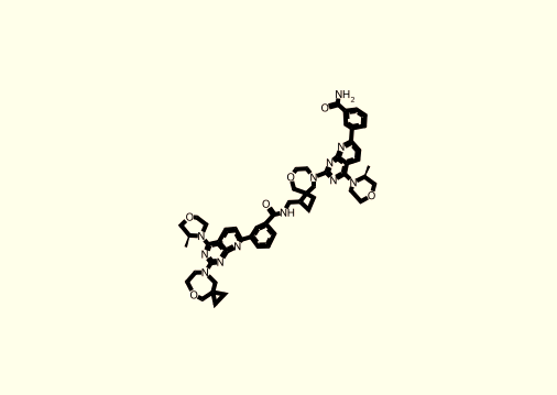 C[C@H]1COCCN1c1nc(N2CCOCC3(CC3)C2)nc2nc(-c3cccc(C(=O)NCC4CCC45COCCN(c4nc(N6CCOC[C@@H]6C)c6ccc(-c7cccc(C(N)=O)c7)nc6n4)C5)c3)ccc12